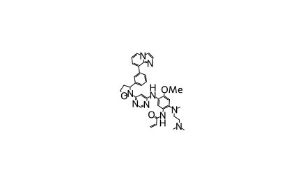 C=CC(=O)Nc1cc(Nc2cc(N3OCCC3c3cccc(-c4cccn5ccnc45)c3)ncn2)c(OC)cc1N(C)CCN(C)C